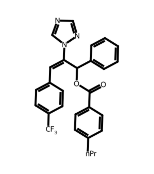 CCCc1ccc(C(=O)OC(/C(=C\c2ccc(C(F)(F)F)cc2)n2cncn2)c2ccccc2)cc1